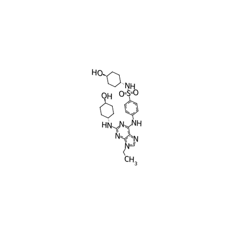 CCn1cnc2c(Nc3ccc(S(=O)(=O)N[C@H]4CC[C@H](O)CC4)cc3)nc(N[C@H]3CC[C@H](O)CC3)nc21